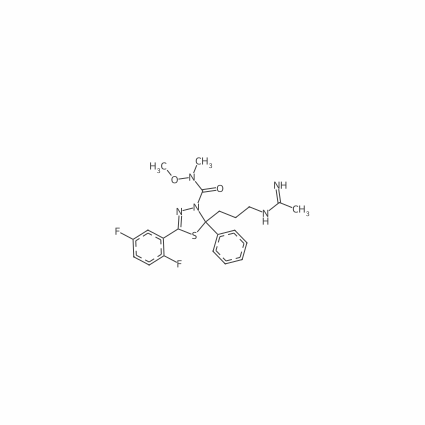 CON(C)C(=O)N1N=C(c2cc(F)ccc2F)SC1(CCCNC(C)=N)c1ccccc1